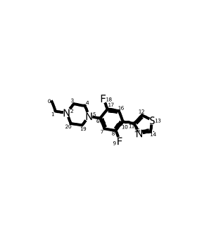 CCN1CCN(c2cc(F)c(-c3cs[c]n3)cc2F)CC1